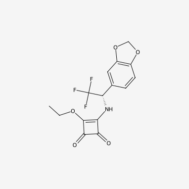 CCOc1c(N[C@@H](c2ccc3c(c2)OCO3)C(F)(F)F)c(=O)c1=O